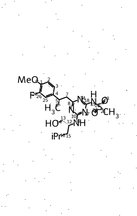 COc1ccc([C@H](C)Cc2nc(N[C@@H](CO)CC(C)C)nc(NS(C)(=O)=O)n2)cc1F